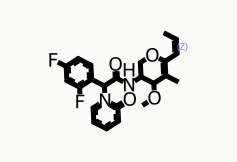 C/C=C\C1=C(C)C(OC)C(NC(=O)C(c2ccc(F)cc2F)n2ccccc2=O)CO1